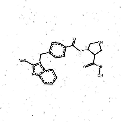 CSc1nc2ccccc2n1Cc1ccc(C(=O)N[C@@H]2CNCC2C(=O)NO)cc1